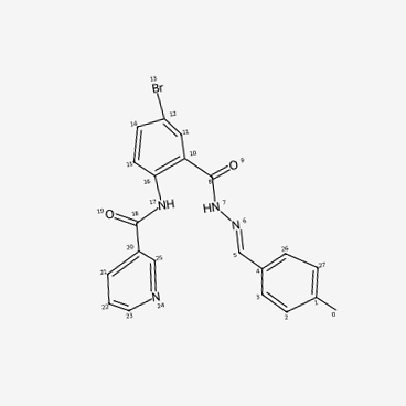 Cc1ccc(/C=N/NC(=O)c2cc(Br)ccc2NC(=O)c2cccnc2)cc1